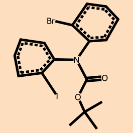 CC(C)(C)OC(=O)N(c1ccccc1Br)c1ccccc1I